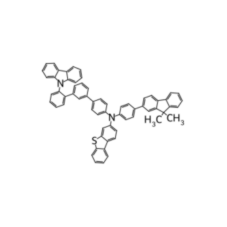 CC1(C)c2ccccc2-c2ccc(-c3ccc(N(c4ccc(-c5cccc(-c6ccccc6-n6c7ccccc7c7ccccc76)c5)cc4)c4ccc5c(c4)sc4ccccc45)cc3)cc21